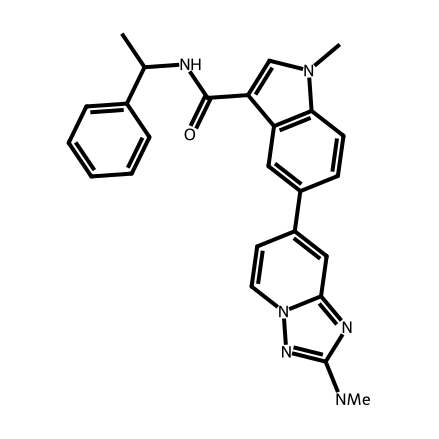 CNc1nc2cc(-c3ccc4c(c3)c(C(=O)NC(C)c3ccccc3)cn4C)ccn2n1